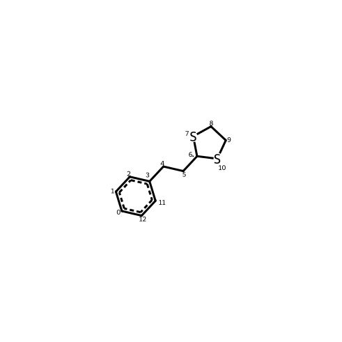 c1ccc(CC[C]2SCCS2)cc1